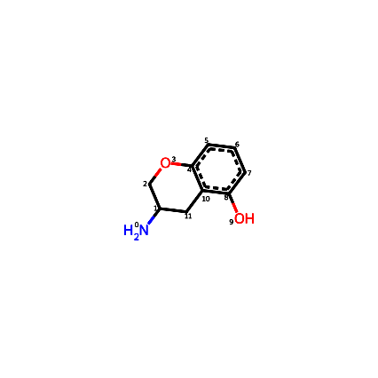 NC1COc2cccc(O)c2C1